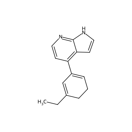 CCC1=CC(c2ccnc3[nH]ccc23)=CCC1